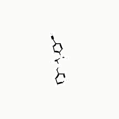 N#Cc1ccc(N(S)C(=O)OCc2cccnc2)cc1